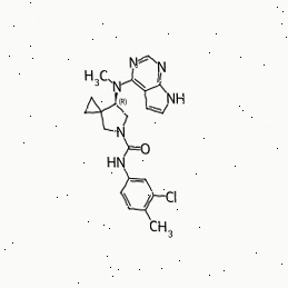 Cc1ccc(NC(=O)N2C[C@H](N(C)c3ncnc4[nH]ccc34)C3(CC3)C2)cc1Cl